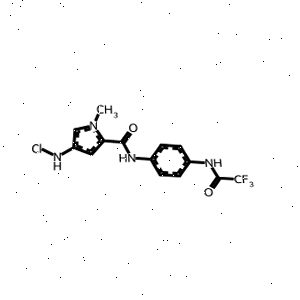 Cn1cc(NCl)cc1C(=O)Nc1ccc(NC(=O)C(F)(F)F)cc1